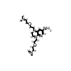 CN(C)CCOCCN1CCN(CCOCCN(C)C)c2ncc(N)cc21